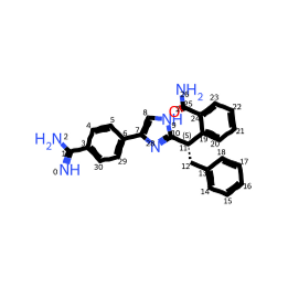 N=C(N)c1ccc(-c2c[nH]c([C@@H](Cc3ccccc3)c3ccccc3C(N)=O)n2)cc1